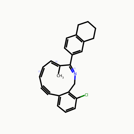 CC1=C\C=C/C#Cc2cccc(Cl)c2C/N=C\1c1ccc2c(c1)CCCC2